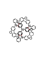 C1=c2oc3ccc(N(c4ccc5oc6ccc7oc8ccc(-n9c%10ccccc%10c%10ccccc%109)cc8c7c6c5c4)c4ccc5oc6ccc7oc8ccc(-n9c%10ccccc%10c%10ccccc%109)cc8c7c6c5c4)cc3c2=C2c3cc(-n4c5ccccc5c5ccccc54)ccc3OC2C1